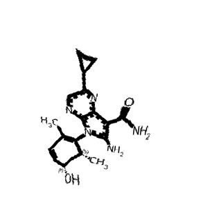 CC1=C(n2c(N)c(C(N)=O)c3nc(C4CC4)cnc32)[C@H](C)[C@H](O)C=C1